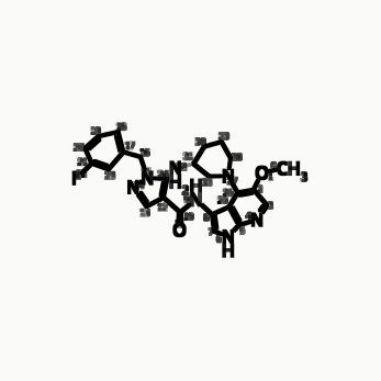 COc1cnc2[nH]cc(NC(=O)c3cnn(Cc4cccc(F)c4)c3)c2c1N1CCC[C@@H](N)C1